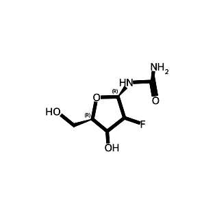 NC(=O)N[C@@H]1O[C@H](CO)C(O)C1F